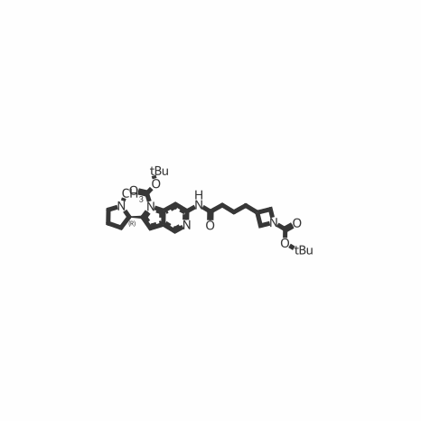 CN1CCC[C@@H]1c1cc2cnc(NC(=O)CCCC3CN(C(=O)OC(C)(C)C)C3)cc2n1C(=O)OC(C)(C)C